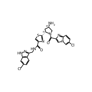 N[C@@H]1C[C@@H](c2nc(C(=O)NCc3n[nH]c4cc(Cl)ccc34)cs2)N(C(=O)c2cn3cc(Cl)ccc3n2)C1